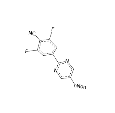 CCCCCCCCCc1cnc(-c2cc(F)c(C#N)c(F)c2)nc1